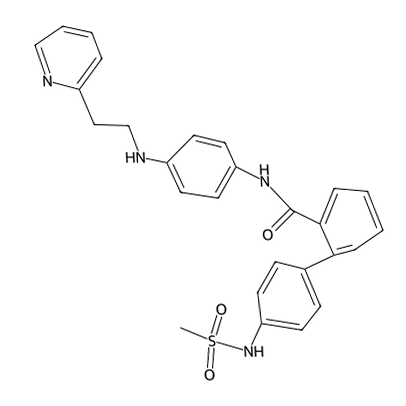 CS(=O)(=O)Nc1ccc(-c2ccccc2C(=O)Nc2ccc(NCCc3ccccn3)cc2)cc1